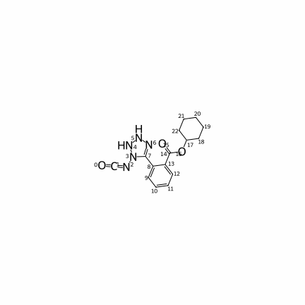 O=C=NN1NNN=C1c1ccccc1C(=O)OC1CCCCC1